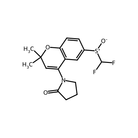 CC1(C)C=C(N2CCCC2=O)c2cc([S+]([O-])C(F)F)ccc2O1